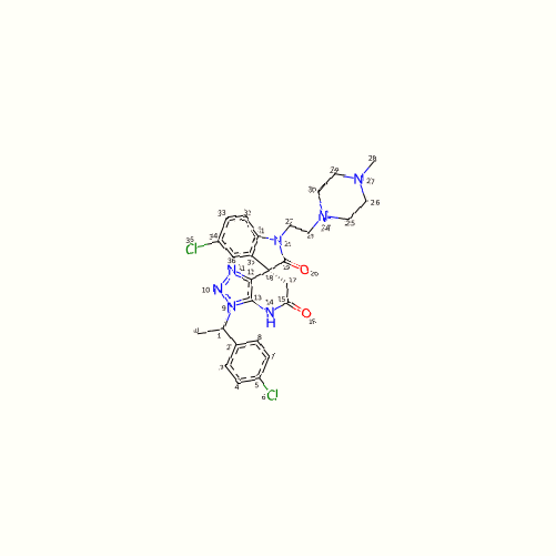 CC(c1ccc(Cl)cc1)n1nnc2c1NC(=O)C[C@]21C(=O)N(CCN2CCN(C)CC2)c2ccc(Cl)cc21